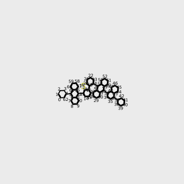 C1=CCCC(c2c3ccccc3c(-c3cccc4c3sc3cccc(-c5c6ccccc6c(-c6ccc(-c7ccccc7)c7ccccc67)c6ccccc56)c34)c3ccccc23)=C1